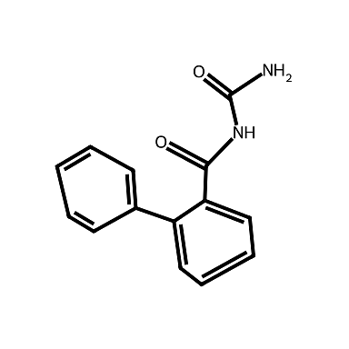 NC(=O)NC(=O)c1ccccc1-c1ccccc1